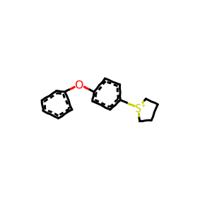 c1ccc(Oc2ccc([S+]3CCCC3)cc2)cc1